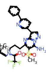 C/C=C\N(C(=O)C(F)(F)F)[C@H](C)CCc1nc2c(-c3ccc(-c4ccccc4)nc3)cnn2c(N)c1S(C)(=O)=O